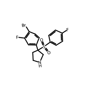 O=S(=O)(c1ccc(F)cc1)C1(c2ccc(Br)c(F)c2)CCNC1